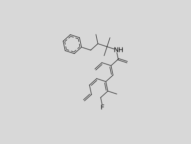 C=C\C=C/C(/C=C(\C=C)C(=C)NC(C)(C)C(C)Cc1ccccc1)=C(/C)CF